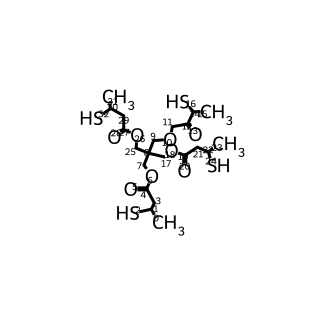 CC(S)CC(=O)OCC(COCC(=O)C(C)S)(COC(=O)CC(C)S)COC(=O)CC(C)S